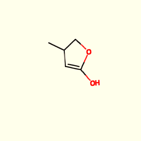 CC1C=C(O)OC1